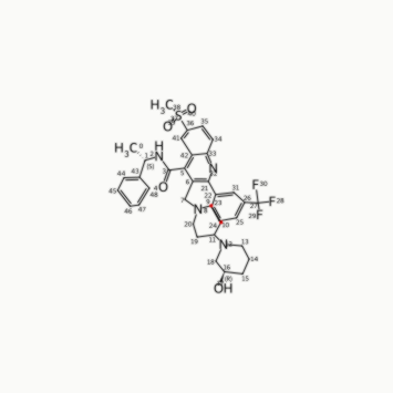 C[C@H](NC(=O)c1c(CN2CCC(N3CCC[C@@H](O)C3)CC2)c(-c2cccc(C(F)(F)F)c2)nc2ccc(S(C)(=O)=O)cc12)c1ccccc1